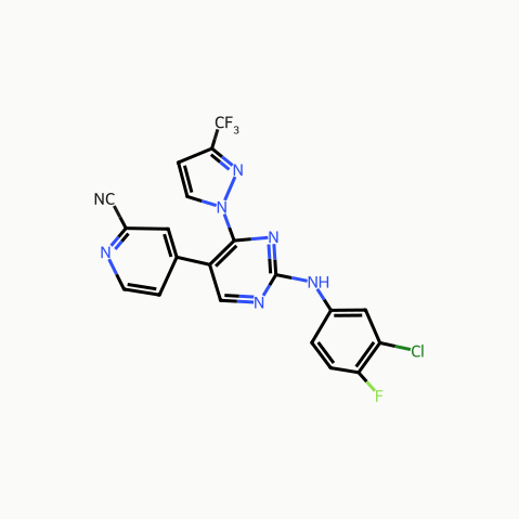 N#Cc1cc(-c2cnc(Nc3ccc(F)c(Cl)c3)nc2-n2ccc(C(F)(F)F)n2)ccn1